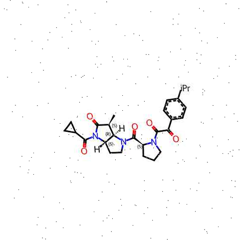 CC(C)c1ccc(C(=O)C(=O)N2CCC[C@H]2C(=O)N2CC[C@H]3[C@H]2[C@H](C)C(=O)N3C(=O)C2CC2)cc1